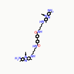 CC#CN1c2cc(N)c(C)cc2N=C2C=C(C)C(NCCCCCCNC(=O)c3ccc(-c4ccc(C(=O)NCCCCCCNc5cc6c(cc5C)nc5cc(C)c(N)cc5[n+]6C#CC)cc4)cc3)=CC21